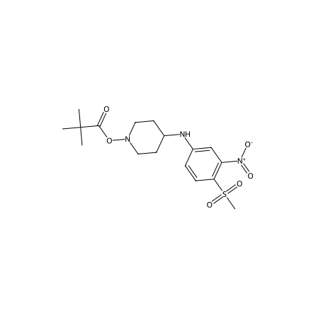 CC(C)(C)C(=O)ON1CCC(Nc2ccc(S(C)(=O)=O)c([N+](=O)[O-])c2)CC1